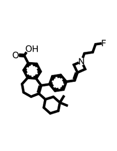 CC1(C)CCCC(C2=C(c3ccc(C=C4CN(CCCF)C4)cc3)c3ccc(C(=O)O)cc3CCC2)C1